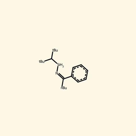 CCCC/C(=N/[SiH2]C(C(C)(C)C)C(C)(C)C)c1ccccc1